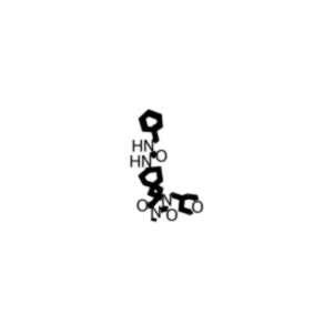 CN1C(=O)N(CC2CCOCC2)C2(CC3(CCC(NC(=O)NCc4ccccc4)CC3)C2)C1=O